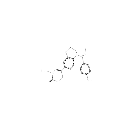 CC/N=C(/c1ccc([N+](=O)[O-])cc1)N1CCCc2cc(C3=NN(C)C(=O)SC3)ccc21